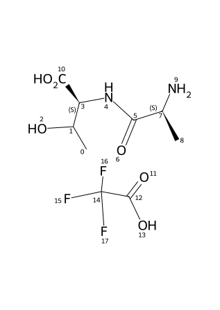 CC(O)[C@H](NC(=O)[C@H](C)N)C(=O)O.O=C(O)C(F)(F)F